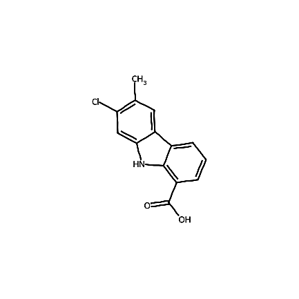 Cc1cc2c(cc1Cl)[nH]c1c(C(=O)O)cccc12